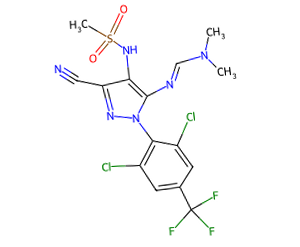 CN(C)C=Nc1c(NS(C)(=O)=O)c(C#N)nn1-c1c(Cl)cc(C(F)(F)F)cc1Cl